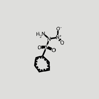 NN([N+](=O)[O-])S(=O)(=O)c1ccccc1